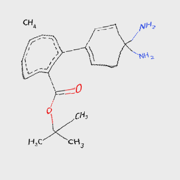 C.CC(C)(C)OC(=O)c1ccccc1C1=CCC(N)(N)C=C1